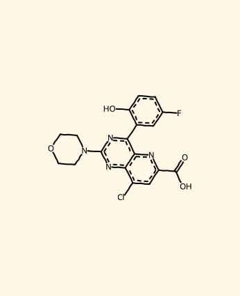 O=C(O)c1cc(Cl)c2nc(N3CCOCC3)nc(-c3cc(F)ccc3O)c2n1